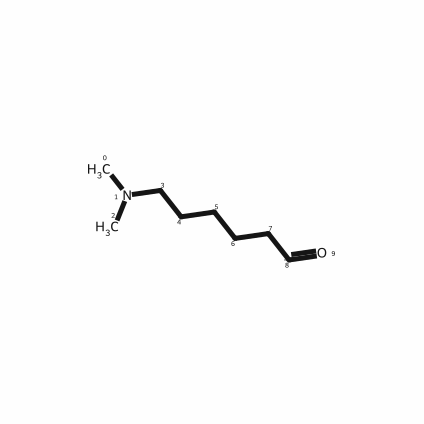 CN(C)CCCCC[C]=O